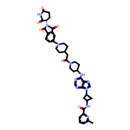 Cc1cccc(C(=O)NC2CC(n3cnc4c(NC5CCN(C(=O)CC6CCN(c7ccc8c(c7)C(=O)N([C@H]7CCC(=O)NC7=O)C8=O)CC6)CC5)ncnc43)C2)n1